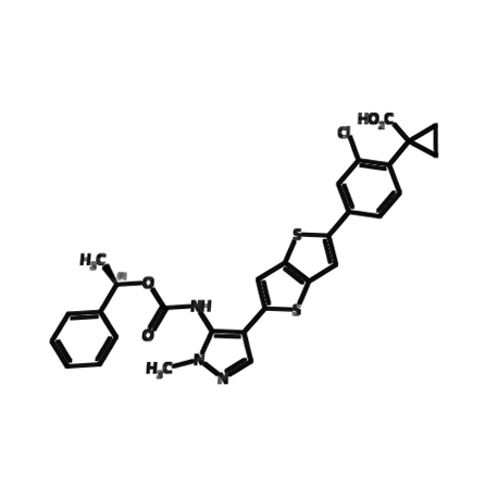 C[C@@H](OC(=O)Nc1c(-c2cc3sc(-c4ccc(C5(C(=O)O)CC5)c(Cl)c4)cc3s2)cnn1C)c1ccccc1